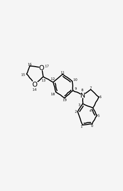 c1ccc2c(c1)CCN2c1ccc(C2OCCO2)cc1